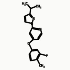 Cc1ccc(Oc2ccnc(-n3ccc(C(C)C)n3)c2)cc1F